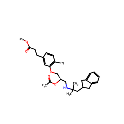 CC(C)OC(=O)CCc1ccc(C#N)c(OC[C@@H](CNC(C)(C)CC2Cc3ccccc3C2)OC(=O)C(F)(F)F)c1